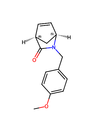 COc1ccc(CN2C(=O)[C@H]3C=C[C@@H]2C3)cc1